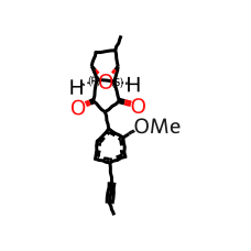 CC#Cc1ccc(C2C(=O)[C@@H]3C4OC(CC4C)[C@@H]3C2=O)c(OC)c1